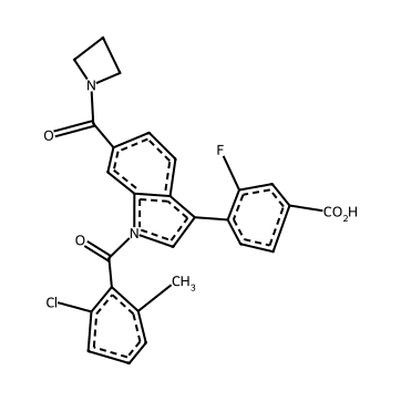 Cc1cccc(Cl)c1C(=O)n1cc(-c2ccc(C(=O)O)cc2F)c2ccc(C(=O)N3CCC3)cc21